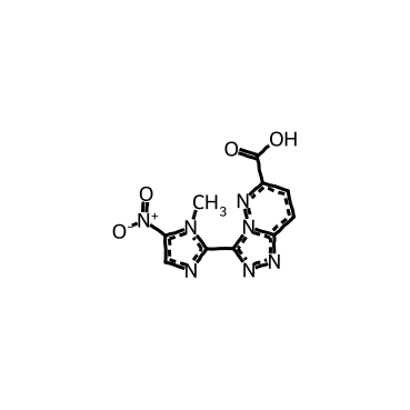 Cn1c([N+](=O)[O-])cnc1-c1nnc2ccc(C(=O)O)nn12